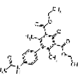 CCOC(=O)c1c(C)n(-c2ccc(NC(C)=O)cc2)c(C)c(C(=O)OCC)c1=O